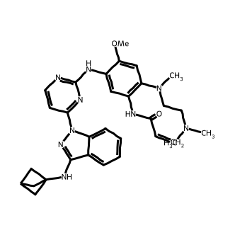 C=CC(=O)Nc1cc(Nc2nccc(-n3nc(NC45CC(C4)C5)c4ccccc43)n2)c(OC)cc1N(C)CCN(C)C